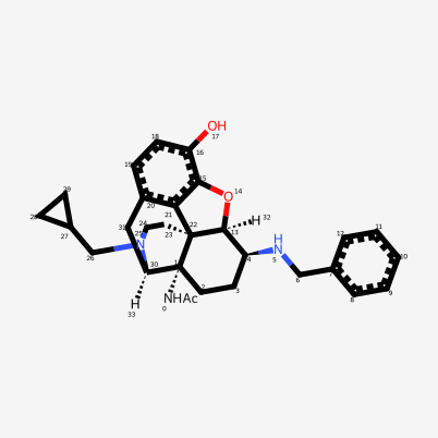 CC(=O)N[C@@]12CC[C@H](NCc3ccccc3)[C@@H]3Oc4c(O)ccc5c4[C@@]31CCN(CC1CC1)[C@@H]2C5